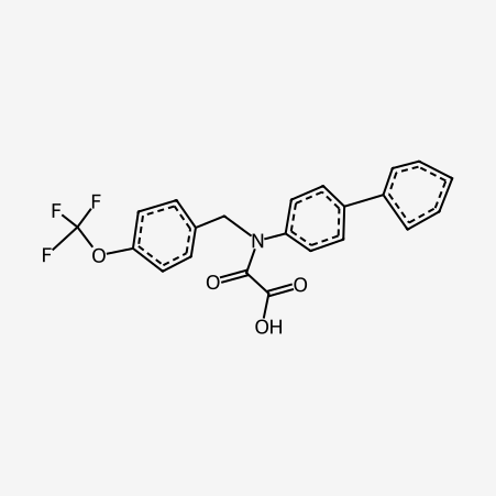 O=C(O)C(=O)N(Cc1ccc(OC(F)(F)F)cc1)c1ccc(-c2ccccc2)cc1